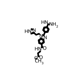 COC(=O)CCNC(=O)c1ccc2c(c1)nc(-c1ccc(C(=N)N)cc1)n2CCc1c[nH]cn1